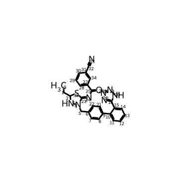 CCC1NN(Cc2ccc(-c3ccccc3-c3nnn[nH]3)cc2)C(=NC(=O)c2cccc(C#N)c2)S1